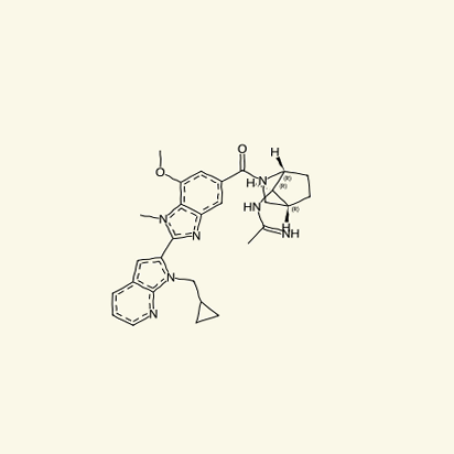 COc1cc(C(=O)N2C[C@H]3CC[C@@H]2[C@@H]3NC(C)=N)cc2nc(-c3cc4cccnc4n3CC3CC3)n(C)c12